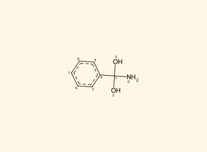 NC(O)(O)c1ccccc1